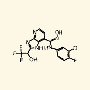 O/N=C(/Nc1ccc(F)c(Cl)c1)c1ccnc2nc(C(O)C(F)(F)F)[nH]c12